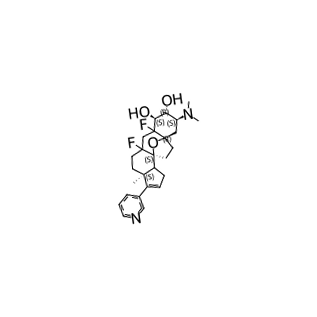 CN(C)[C@H]1C[C@@]23CC[C@]4(O2)C2CC=C(c5cccnc5)[C@@]2(C)CCC4(F)CC3(F)[C@@H](O)[C@@H]1O